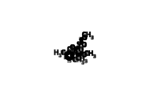 COCC(=O)SCC(=O)N(c1c(C)ccc(C)c1C)[C@@H](C)C(=O)OC